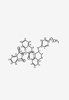 COc1ccc(CC2CCc3ccccc3C2N(Cc2ccccc2)C(=O)CN2C(=O)c3ccccc3C2=O)cc1